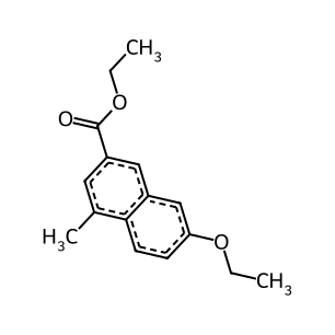 CCOC(=O)c1cc(C)c2ccc(OCC)cc2c1